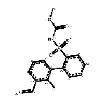 COC(=O)NS(=O)(=O)c1ccccc1-c1cccc([C]=O)c1C